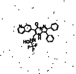 O=c1c(-c2ccc3ncccc3c2)c(CNC(O)C(F)(F)F)[nH]c2c(-c3ccccc3)c(-c3ccccc3)nn12